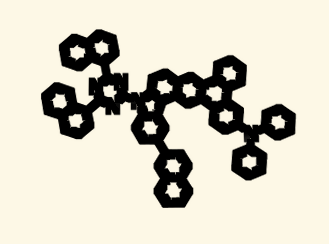 c1ccc(N(c2ccccc2)c2ccc3c(c2)c2ccccc2c2cc4ccc5c(c4cc32)c2cc(-c3ccc4ccccc4c3)ccc2n5-c2nc(-c3cccc4ccccc34)nc(-c3cccc4ccccc34)n2)cc1